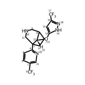 FC(F)(F)c1ccc(C23CCC(CNC2)[C@@H]3Oc2cc(C(F)(F)F)n[nH]2)nc1